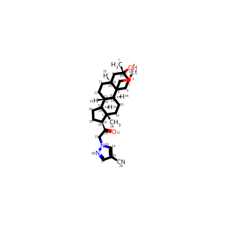 CCOCC12CC[C@@](C)(O)C[C@@H]1CC[C@@H]1[C@@H]2CC[C@]2(C)[C@@H](C(=O)Cn3cc(C#N)cn3)CC[C@@H]12